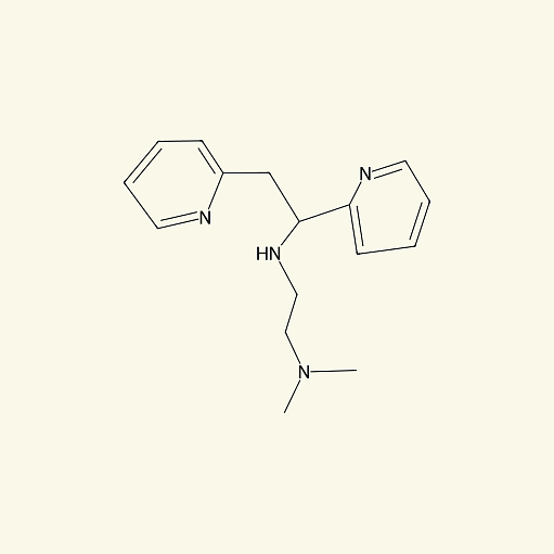 CN(C)CCNC(Cc1ccccn1)c1ccccn1